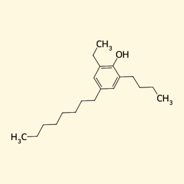 CCCCCCCCc1cc(CC)c(O)c(CCCC)c1